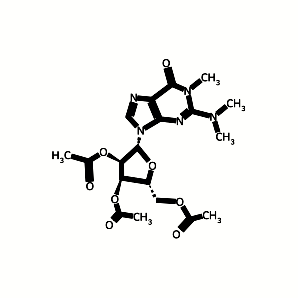 CC(=O)OC[C@H]1O[C@@H](n2cnc3c(=O)n(C)c(N(C)C)nc32)[C@H](OC(C)=O)[C@@H]1OC(C)=O